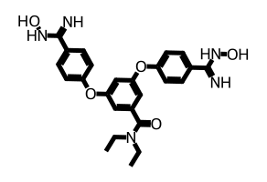 CCN(CC)C(=O)c1cc(Oc2ccc(C(=N)NO)cc2)cc(Oc2ccc(C(=N)NO)cc2)c1